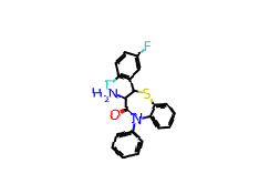 NC1C(=O)N(c2ccccc2)c2ccccc2SC1c1cc(F)ccc1F